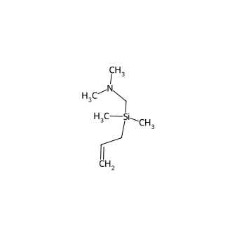 C=CC[Si](C)(C)CN(C)C